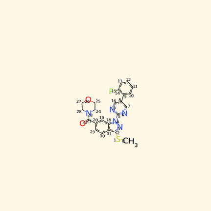 CSc1nn(-c2ncc(-c3ccccc3F)cn2)c2cc(C(=O)N3CCOCC3)ccc12